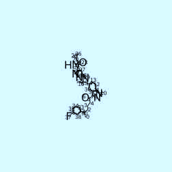 C[C@H](CCCC(=O)c1nn(C)c2ccc(-c3ccn4nc(NC(=O)C5CC5)cc4n3)cc12)c1cccc(F)c1